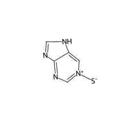 [S-][n+]1cnc2nc[nH]c2c1